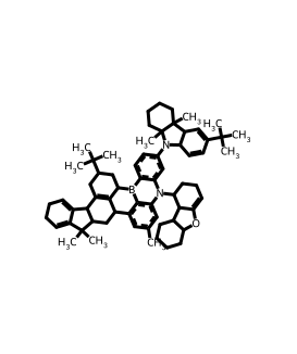 Cc1cc2c3c(c1)N(C1CCC=C4OC5CCCCC5C41)c1cc(N4C5C=CC(C(C)(C)C)=CC5C5(C)CCCCC45C)ccc1B3C1CC(C(C)(C)C)CC3=C1C2CC1C3C2=CCCC=C2C1(C)C